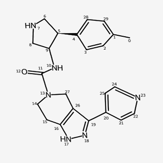 Cc1ccc([C@@H]2CNCC2NC(=O)N2CCc3[nH]nc(-c4ccncc4)c3C2)cc1